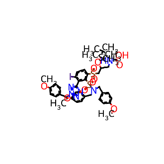 COc1ccc(CN(Cc2ccc(OC)cc2)S(=O)(=O)c2c(S(=O)(=O)CC(CNC(=O)O)O[Si](C)(C)C(C)(C)C)ccc(I)c2-c2nnn(Cc3ccc(OC)cc3)n2)cc1